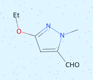 CCOc1cc(C=O)n(C)n1